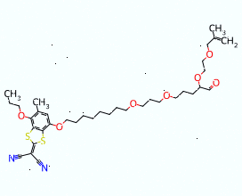 C=C(C)COCCOC(C=O)CCCOCCCOCCCCCCCCOc1cc(C)c(OCCC)c2c1SC(=C(C#N)C#N)S2